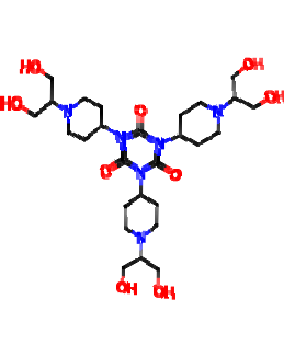 O=c1n(C2CCN(C(CO)CO)CC2)c(=O)n(C2CCN(C(CO)CO)CC2)c(=O)n1C1CCN(C(CO)CO)CC1